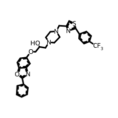 O[C@H](COc1ccc2oc(-c3ccccc3)nc2c1)CN1CCN(Cc2csc(-c3ccc(C(F)(F)F)cc3)n2)CC1